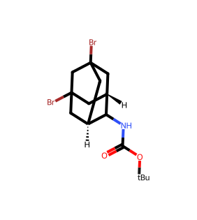 CC(C)(C)OC(=O)NC1[C@H]2CC3(Br)CC(Br)(C[C@H]1C3)C2